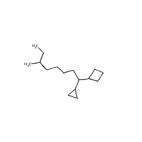 CC[C](C)CCCCC(C1CCC1)C1CC1